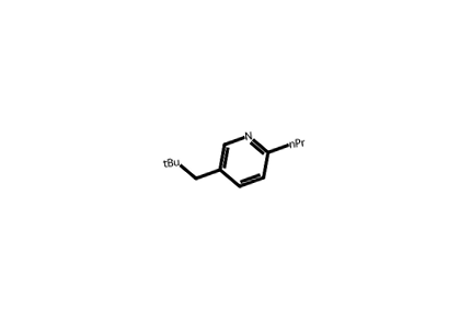 CCCc1ccc(CC(C)(C)C)cn1